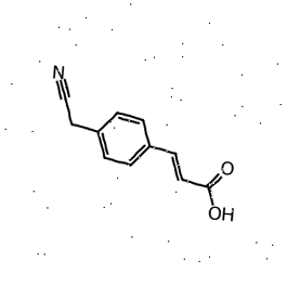 N#CCc1ccc(C=CC(=O)O)cc1